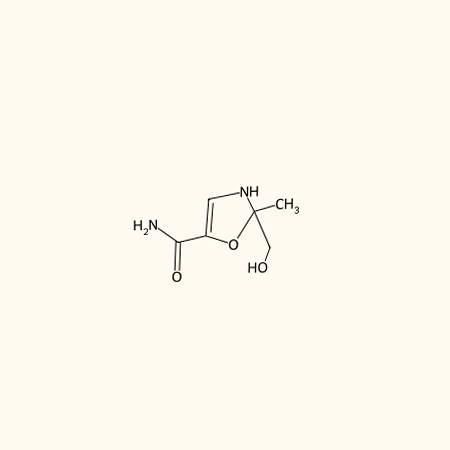 CC1(CO)NC=C(C(N)=O)O1